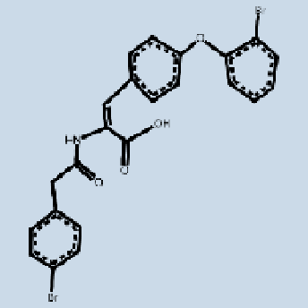 O=C(Cc1ccc(Br)cc1)NC(=Cc1ccc(Oc2ccccc2Br)cc1)C(=O)O